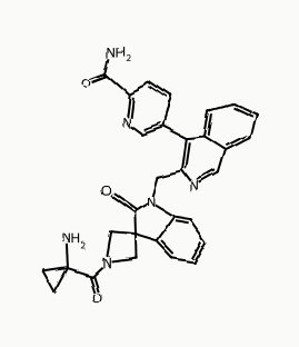 NC(=O)c1ccc(-c2c(CN3C(=O)C4(CN(C(=O)C5(N)CC5)C4)c4ccccc43)ncc3ccccc23)cn1